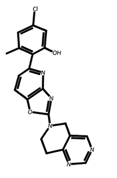 Cc1cc(Cl)cc(O)c1-c1ccc2oc(N3CCc4ncncc4C3)nc2n1